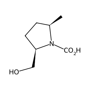 C[C@@H]1CC[C@H](CO)N1C(=O)O